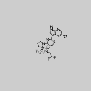 C[C@]1(C(=O)NCC(F)F)CCCN1c1ccnc(-c2c[nH]c3ncc(Cl)cc23)n1